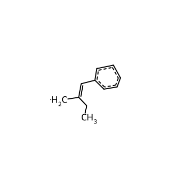 [CH2]/C(=C/c1ccccc1)CC